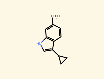 O=C(O)c1ccc2c(C3CC3)c[nH]c2c1